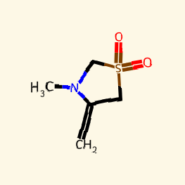 C=C1CS(=O)(=O)CN1C